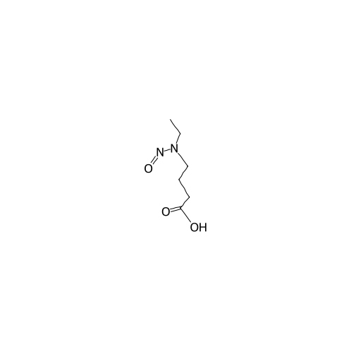 CCN(CCCC(=O)O)N=O